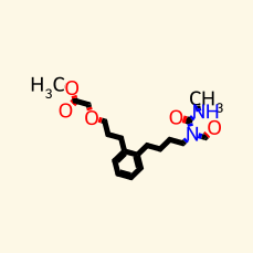 CNC(=O)N(C=O)CCCCc1ccccc1CCCOCC(=O)OC